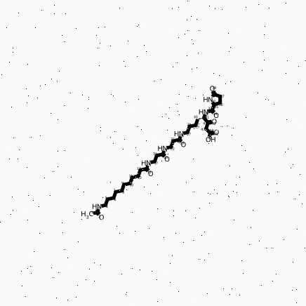 CC(=O)NCCCCCCCCCCC(=O)NCCC(=O)NCCC(=O)NCCCC[C@H](NC(=O)C1CCC(=O)N1)C(=O)CC(=O)O